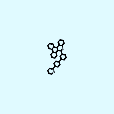 c1ccc(-c2ccc(-c3cccc(-c4nc5ccccc5c5c6ccccc6c6ccccc6c45)c3)cc2)nc1